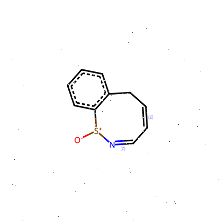 [O-][S+]1/N=C\C=C/Cc2ccccc21